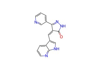 O=C1NN=C(c2cccnc2)C1=Cc1c[nH]c2ncccc12